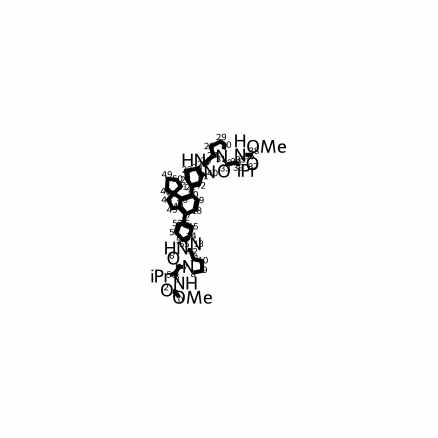 COC(=O)NC(C(=O)N1CCCC1c1nc2cc(-c3ccc(-c4ccc5[nH]c(C6CCCN6C(=O)C(NC(=O)OC)C(C)C)nc5c4)c4c3CCC43CCCC3)ccc2[nH]1)C(C)C